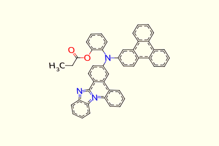 CCC(=O)Oc1ccccc1N(c1ccc2c3ccccc3c3ccccc3c2c1)c1ccc2c(c1)c1ccccc1n1c3ccccc3nc21